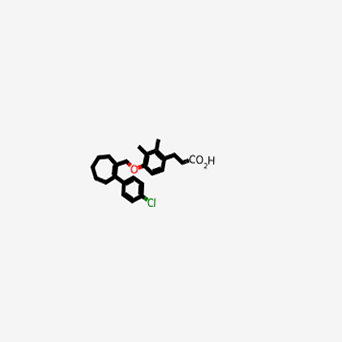 Cc1c(CCC(=O)O)ccc(OCC2=C(c3ccc(Cl)cc3)CCCCC2)c1C